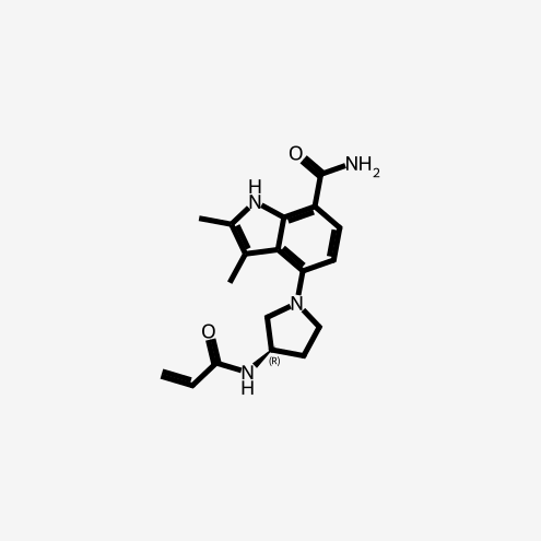 C=CC(=O)N[C@@H]1CCN(c2ccc(C(N)=O)c3[nH]c(C)c(C)c23)C1